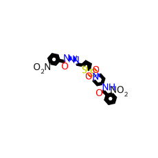 O=C(N=[N+]=NCc1ccc(S(=O)(=O)N2CCC(NC(=O)c3ccccc3[N+](=O)[O-])CC2)s1)c1cccc([N+](=O)[O-])c1